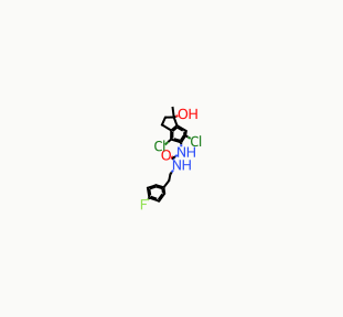 CC1(O)CCc2c1cc(Cl)c(NC(=O)NCCc1ccc(F)cc1)c2Cl